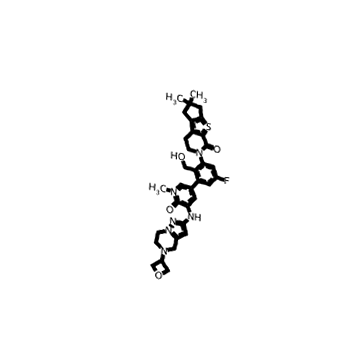 Cn1cc(-c2cc(F)cc(N3CCc4c(sc5c4CC(C)(C)C5)C3=O)c2CO)cc(Nc2cc3n(n2)CCN(C2COC2)C3)c1=O